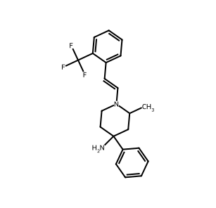 CC1CC(N)(c2ccccc2)CCN1C=Cc1ccccc1C(F)(F)F